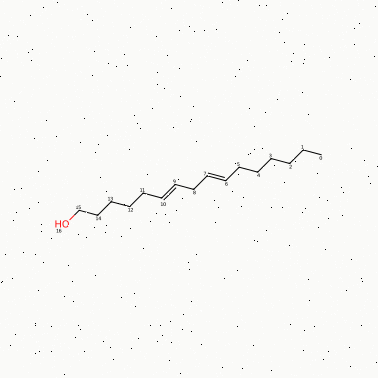 CCCCCC/C=C/C/C=C/CCCCCO